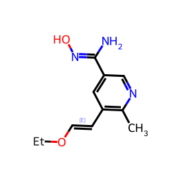 CCO/C=C/c1cc(C(N)=NO)cnc1C